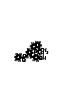 CC(C(=O)Nc1cc(Cc2ccccc2COC(=O)c2ccccc2)ccc1O)c1cccc2ccccc12